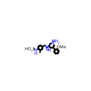 COc1ccccc1C1=CN(N)Cc2c1nnn2Cc1ccc(NS(=O)(=O)O)c(C)c1